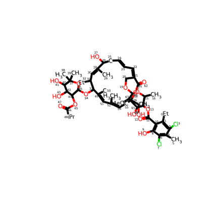 CCc1c(Cl)c(C)c(Cl)c(O)c1C(=O)OC1C(C)OC(OC/C2=C\C=C\CC(O)/C(C)=C/C(CC)C(OC3OC(C)(C)C(O)C(O)C3OC(=O)C(C)C)/C(C)=C/C(C)=C/CC(C(C)O)OC2=O)C(OC)C1O